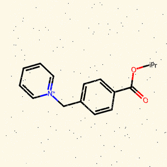 CC(C)OC(=O)c1ccc(C[n+]2ccccc2)cc1